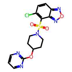 O=S(=O)(c1c(Cl)ccc2nonc12)N1CCC(Oc2ncccn2)CC1